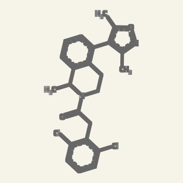 Cc1noc(C)c1-c1cccc2c1CCN(C(=O)Cc1c(Cl)cccc1Cl)C2C